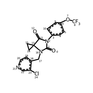 O=C1N(c2ccc(OC(F)(F)F)cc2)C(=O)C2(CC2)N1Cc1ccncc1Cl